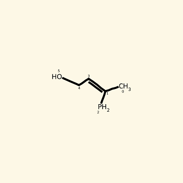 CC(P)=CCO